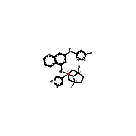 Cc1cc(Nc2cc3ncccc3c(N[C@@H]3C[C@H]4CC[C@@H](C3)N4Sc3cn[nH]c3)n2)n[nH]1